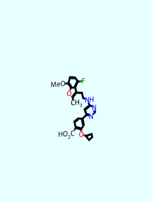 COc1ccc(F)c2c(CCNc3cc(-c4ccc(C(=O)O)c(OC5CCC5)c4)ncn3)c(C)oc12